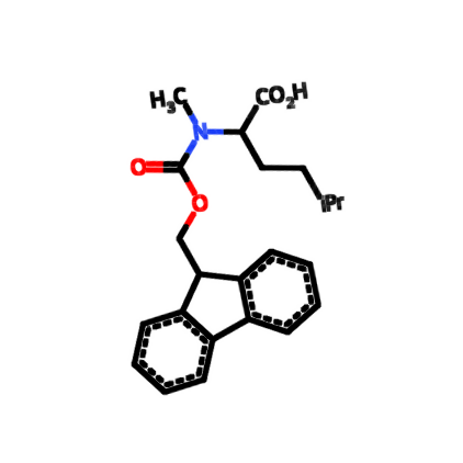 CC(C)CCC(C(=O)O)N(C)C(=O)OCC1c2ccccc2-c2ccccc21